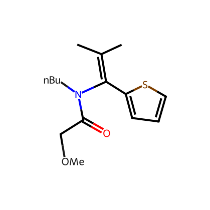 CCCCN(C(=O)COC)C(=C(C)C)c1cccs1